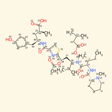 CC[C@@H](C)C(NC(=O)[C@H]1CCCCN1C)C(=O)N(COC(=O)CC(C)C)[C@H](C[C@@H](OC(C)=O)c1nc(C(=O)N[C@@H](Cc2ccc(O)cc2)C[C@H](C)C(=O)O)cs1)C(C)C